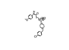 COc1ccc(NC(=O)SCCCN2CCN(Cc3ccc(Cl)cc3)CC2)cc1.Cl.Cl.O